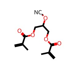 C=C(C)C(=O)OCC(COC(=O)C(=C)C)OC#N